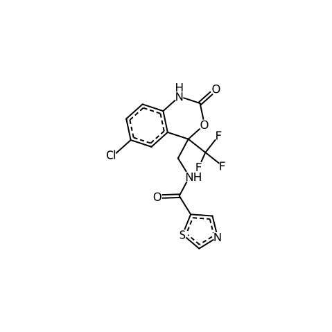 O=C1Nc2ccc(Cl)cc2C(CNC(=O)c2cncs2)(C(F)(F)F)O1